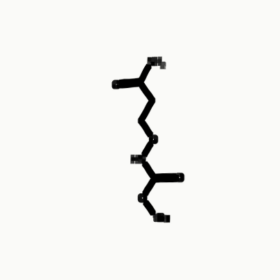 CC(C)(C)OC(=O)NOCCC(N)=O